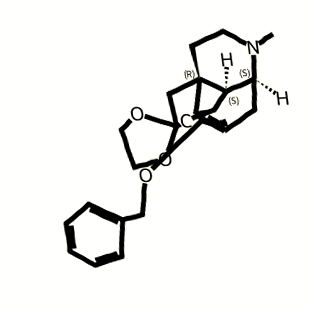 CN1CC[C@@]23CC4(CC[C@@H]2[C@@H]1Cc1ccc(OCc2ccccc2)cc13)OCCO4